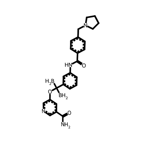 BC(B)(Oc1cncc(C(N)=O)c1)c1cccc(NC(=O)c2ccc(CN3CCCC3)cc2)c1